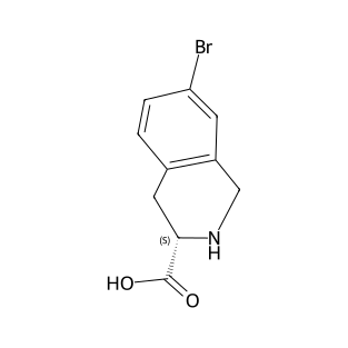 O=C(O)[C@@H]1Cc2ccc(Br)cc2CN1